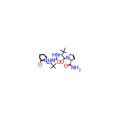 CC(C)(C)[C@H](NC(=O)N[C@H](Cn1ccccc1=O)C(C)(C)C)C(=O)N1CC=C[C@H]1C(N)=O